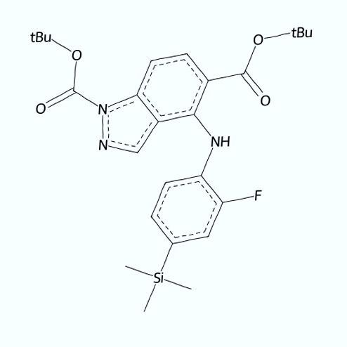 CC(C)(C)OC(=O)c1ccc2c(cnn2C(=O)OC(C)(C)C)c1Nc1ccc([Si](C)(C)C)cc1F